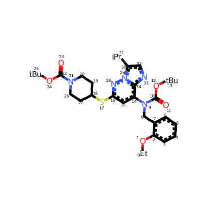 CCOc1ccccc1CN(C(=O)OC(C)(C)C)c1cc(SC2CCN(C(=O)OC(C)(C)C)CC2)nn2c(C(C)C)cnc12